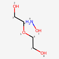 NO.OCCOCCO